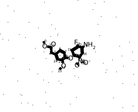 COC(=O)Cc1ccc(Oc2cc(F)c(N)cc2[N+](=O)[O-])c(OC)c1